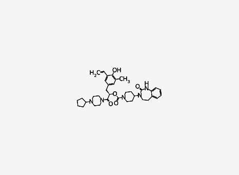 C=Cc1cc(C[C@@H](OC(=O)N2CCC(N3CCc4ccccc4NC3=O)CC2)C(=O)N2CCN(C3CCCC3)CC2)cc(C)c1O